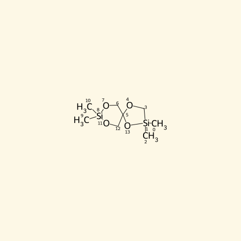 C[Si]1(C)COC2(CO[Si](C)(C)OC2)O1